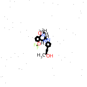 [2H]C([2H])([2H])N1C(=O)c2cccc(OC(F)F)c2[C@H]2C[C@@H]1c1nc3ccc(C#C[C@@H](C)O)cc3n12